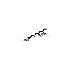 CN/N=C/CSCC(=N)/C=C(/CI)NC